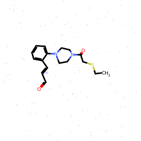 CCSCC(=O)N1CCN(c2ccccc2/C=C/C=O)CC1